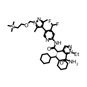 CCn1ncc([C@@H](C(=O)Nc2cc(C(F)F)c(-c3c(C)nn(COCC[Si](C)(C)C)c3C)cn2)C(C2CCCCC2)C2CCCCC2)c1C(N)=O